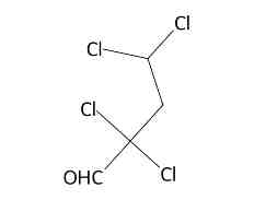 O=CC(Cl)(Cl)CC(Cl)Cl